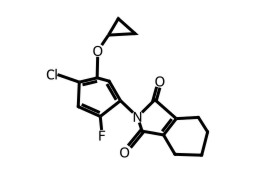 O=C1C2=C(CCCC2)C(=O)N1c1cc(OC2CC2)c(Cl)cc1F